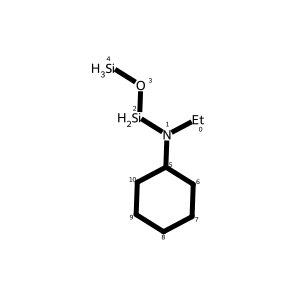 CCN([SiH2]O[SiH3])C1CCCCC1